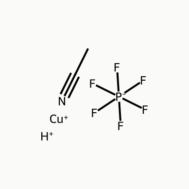 CC#N.F[P-](F)(F)(F)(F)F.[Cu+].[H+]